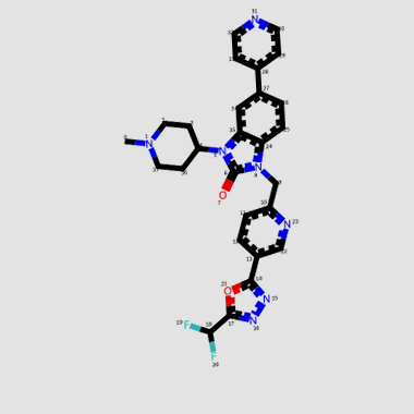 CN1CCC(n2c(=O)n(Cc3ccc(-c4nnc(C(F)F)o4)cn3)c3ccc(-c4ccncc4)cc32)CC1